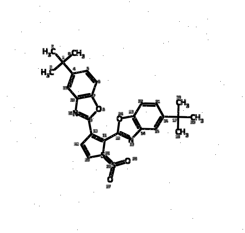 CC(C)(C)c1ccc2oc(C3=C(c4nc5cc(C(C)(C)C)ccc5o4)S(=S(=O)=O)C=C3)nc2c1